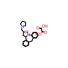 O=C(O)C(=O)O.c1ccc2c(c1)Cc1ccccc1N1OC(CN3CCCC3)CC21